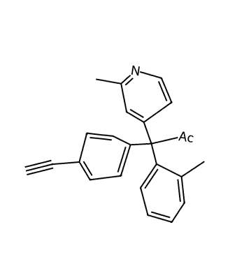 C#Cc1ccc(C(C(C)=O)(c2ccnc(C)c2)c2ccccc2C)cc1